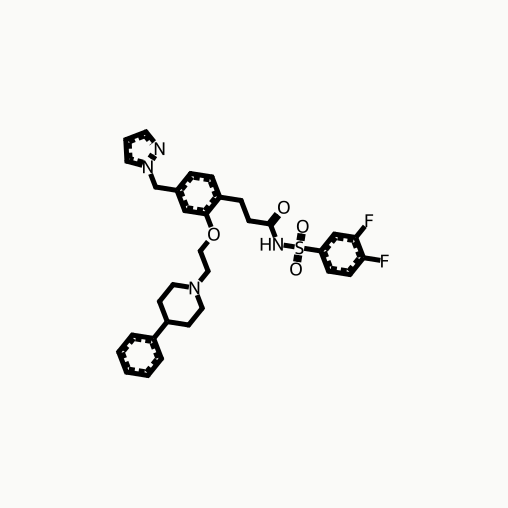 O=C(CCc1ccc(Cn2cccn2)cc1OCCN1CCC(c2ccccc2)CC1)NS(=O)(=O)c1ccc(F)c(F)c1